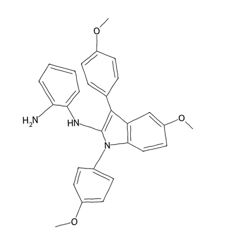 COc1ccc(-c2c(Nc3ccccc3N)n(-c3ccc(OC)cc3)c3ccc(OC)cc23)cc1